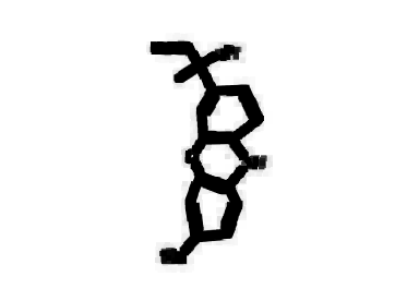 C=CC(C)(CCC)c1ccc2c(c1)Oc1cc(C(C)(C)C)ccc1N2